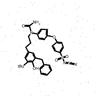 CC(C)(C)c1cc(CCCN(C(N)=O)c2ccc(Oc3ccc(S(=O)(=O)N=[N+]=[N-])cc3)cc2)cc(Cc2ccccc2)c1O